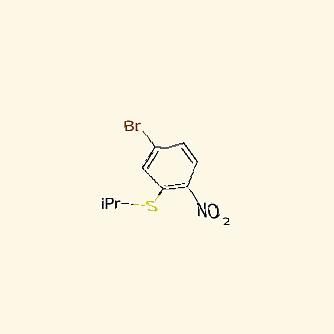 CC(C)Sc1cc(Br)ccc1[N+](=O)[O-]